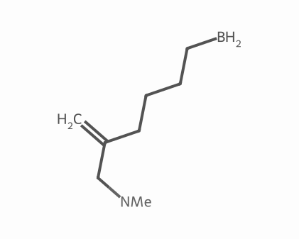 BCCCCC(=C)CNC